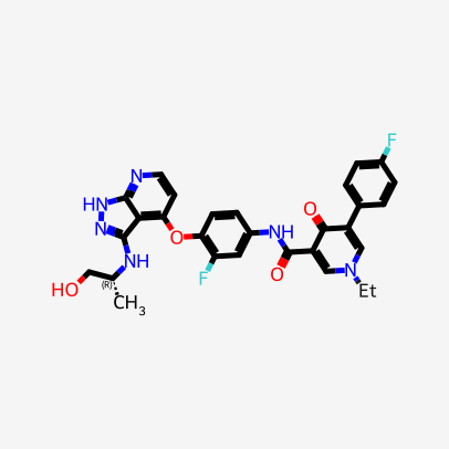 CCn1cc(C(=O)Nc2ccc(Oc3ccnc4[nH]nc(N[C@H](C)CO)c34)c(F)c2)c(=O)c(-c2ccc(F)cc2)c1